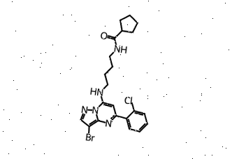 O=C(NCCCCNc1cc(-c2ccccc2Cl)nc2c(Br)cnn12)C1CCCC1